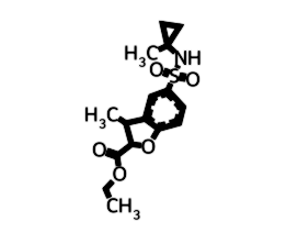 CCOC(=O)C1Oc2ccc(S(=O)(=O)NC3(C)CC3)cc2C1C